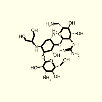 N=C(N)N[C@H]1[C@@H](OC2[C@@H](N)C[C@@H](NC(CO)CO)[C@H](O[C@H]3O[C@H](CO)[C@@H](O)[C@H](N)[C@H]3O)[C@H]2O)O[C@H](CN)[C@@H](O)[C@@H]1O